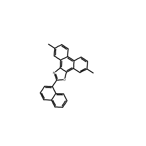 Cc1ccc2c3ccc(C)cc3c3oc(-c4cccc5ccccc45)nc3c2c1